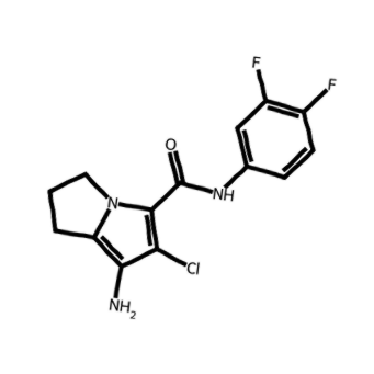 Nc1c(Cl)c(C(=O)Nc2ccc(F)c(F)c2)n2c1CCC2